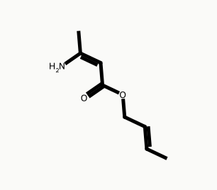 CC=CCOC(=O)C=C(C)N